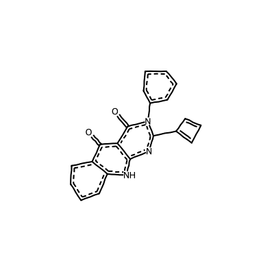 O=c1c2ccccc2[nH]c2nc(C3=CC=C3)n(-c3ccccc3)c(=O)c12